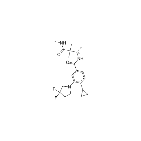 CNC(=O)C(C)(C)[C@H](C)NC(=O)c1ccc(C2CC2)c(N2CCC(F)(F)C2)c1